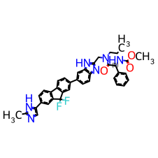 CCCN(Cc1nc2ccc(-c3ccc4c(c3)C(F)(F)c3cc(-c5cnc(C)[nH]5)ccc3-4)cc2[nH]1)C(=O)[C@H](NC(=O)OC)c1ccccc1